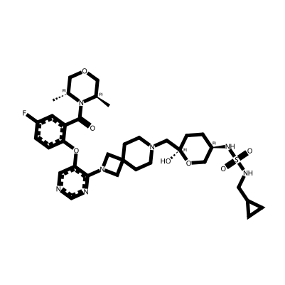 C[C@@H]1COC[C@@H](C)N1C(=O)c1cc(F)ccc1Oc1cncnc1N1CC2(CCN(C[C@@]3(O)CC[C@@H](NS(=O)(=O)NCC4CC4)CO3)CC2)C1